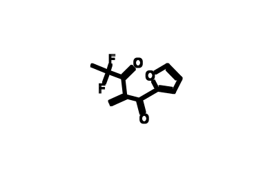 C=C(C(=O)c1ccco1)C(=O)C(C)(F)F